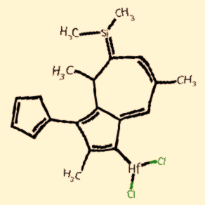 CC1=CC(=[Si](C)C)C(C)C2=C(C3=CC=CC3)C(C)=[C]([Hf]([Cl])[Cl])C2=C1